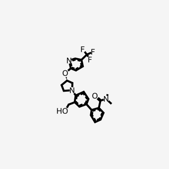 CN(C)C(=O)c1ccccc1-c1ccc(N2CC[C@H](Oc3ccc(C(F)(F)F)cn3)C2)c(CO)c1